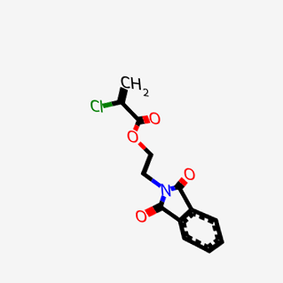 C=C(Cl)C(=O)OCCN1C(=O)c2ccccc2C1=O